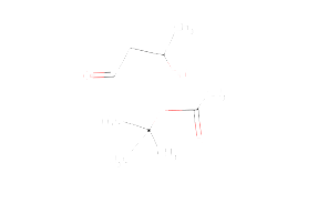 CC(=O)OC(C)(C)C.CC(O)CC=O